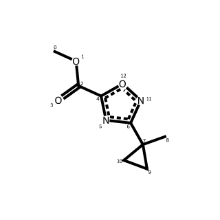 COC(=O)c1nc(C2(C)CC2)no1